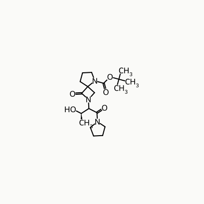 C[C@@H](O)C(C(=O)N1CCCC1)N1CC2(CCCN2C(=O)OC(C)(C)C)C1=O